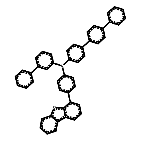 c1ccc(-c2ccc(-c3ccc(N(c4ccc(-c5cccc6c5oc5ccccc56)cc4)c4cccc(-c5ccccc5)c4)cc3)cc2)cc1